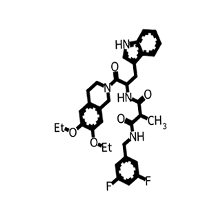 CCOc1cc2c(cc1OCC)CN(C(=O)C(Cc1c[nH]c3ccccc13)NC(=O)C(C)C(=O)NCc1cc(F)cc(F)c1)CC2